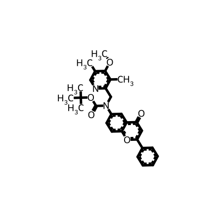 COc1c(C)cnc(CN(C(=O)OC(C)(C)C)c2ccc3oc(-c4ccccc4)cc(=O)c3c2)c1C